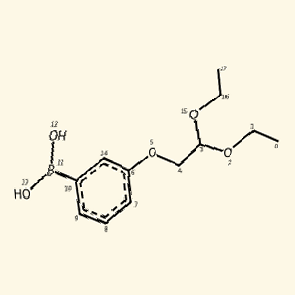 CCOC(COc1cccc(B(O)O)c1)OCC